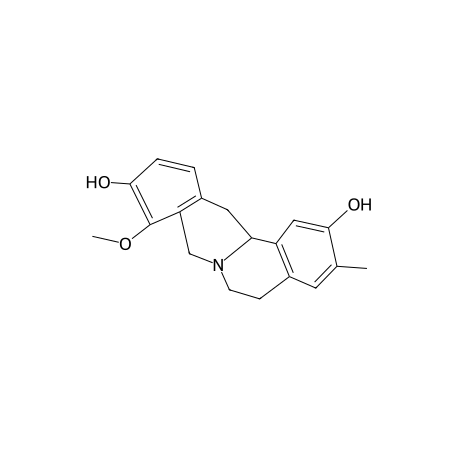 COc1c(O)ccc2c1CN1CCc3cc(C)c(O)cc3C1C2